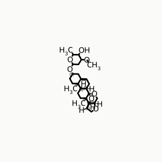 COC1CC(O[C@H]2CC[C@@]3(C)C(=CC[C@@H]4[C@@H]3CC[C@]3(C)[C@H]5[C@H]6CO[C@@]43O[C@@H]5CO6)C2)OC(C)C1O